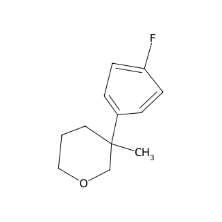 CC1(c2ccc(F)cc2)CCCOC1